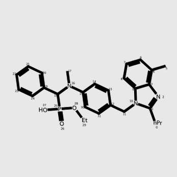 CCCc1nc2c(C)cccc2n1Cc1ccc(N(C)C(c2ccccc2)P(=O)(O)OCC)cc1